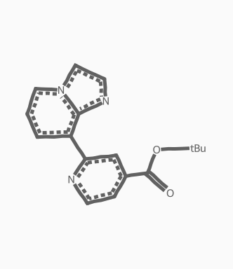 CC(C)(C)OC(=O)c1ccnc(-c2cccn3ccnc23)c1